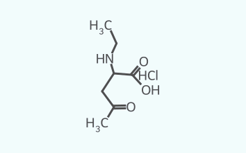 CCNC(CC(C)=O)C(=O)O.Cl